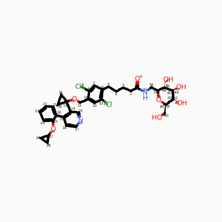 O=C(CCCCc1cc(Cl)c(COC2(c3cnccc3-c3ccccc3OC3CC3)CC2)cc1Cl)NCC1O[C@H](CO)[C@@H](O)[C@H](O)[C@H]1O